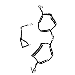 OCC1CO1.Oc1ccc(Oc2ccc(O)cc2)cc1